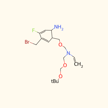 C=CN(COCOC(C)(C)C)COCC1C=C(CBr)C(F)=CC1N